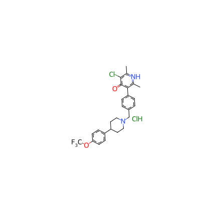 Cc1[nH]c(C)c(-c2ccc(CN3CCC(c4ccc(OC(F)(F)F)cc4)CC3)cc2)c(=O)c1Cl.Cl